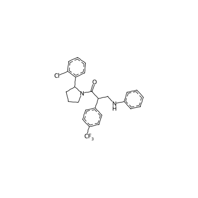 O=C(C(CNc1ccccc1)c1ccc(C(F)(F)F)cc1)N1CCCC1c1ccccc1Cl